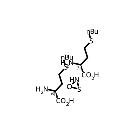 CCCCSCC[C@H](N)C(=O)O.CCCCSCC[C@H](N)C(=O)O.[nH]1os1